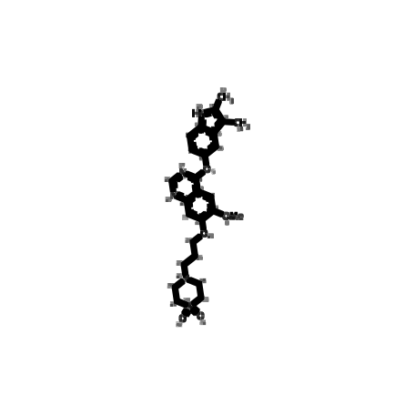 COc1cc2c(Oc3ccc4[nH]c(C)c(C)c4c3)ncnc2cc1OCCCN1CCS(=O)(=O)CC1